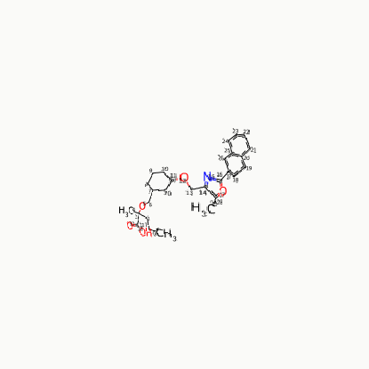 CCCC(C)(OCC1CCC[C@H](OCc2nc(-c3ccc4ccccc4c3)oc2C)C1)C(=O)O